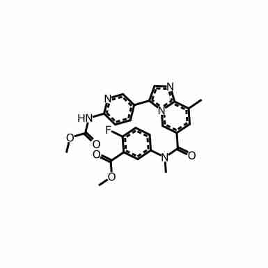 COC(=O)Nc1ccc(-c2cnc3c(C)cc(C(=O)N(C)c4ccc(F)c(C(=O)OC)c4)cn23)cn1